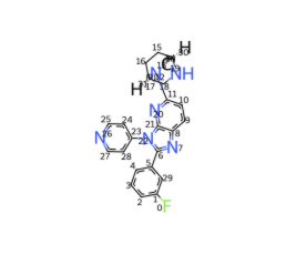 Fc1cccc(-c2nc3ccc(N4C[C@H]5CC[C@@H]4CN5)nc3n2-c2ccncc2)c1